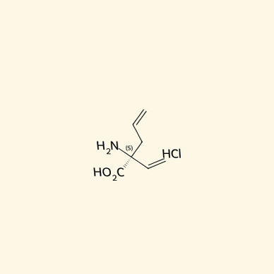 C=CC[C@](N)(C=C)C(=O)O.Cl